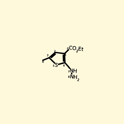 CCOC(=O)c1cc(C)sc1NN